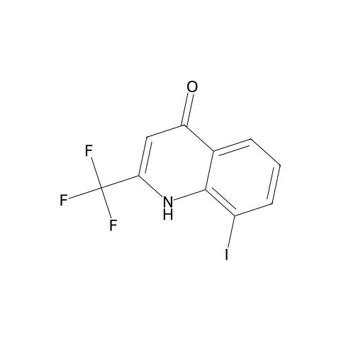 O=c1cc(C(F)(F)F)[nH]c2c(I)cccc12